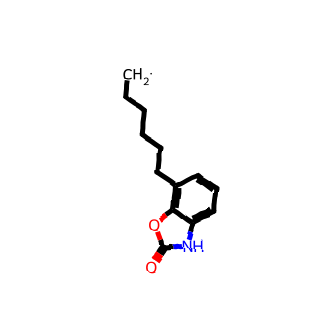 [CH2]CCCCCc1cccc2[nH]c(=O)oc12